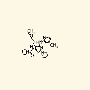 CCOCCn1nc(C(=O)N2CCCC2)c2nc(N3CCCC3)nc(Nc3cc(C)ccn3)c21